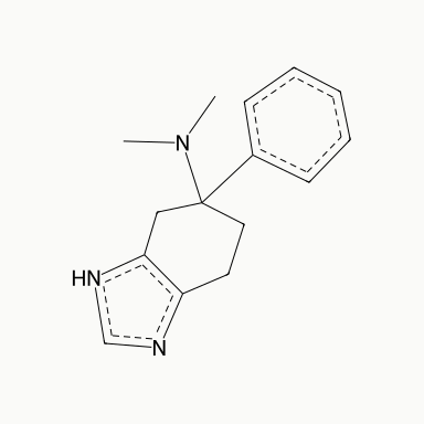 CN(C)C1(c2ccccc2)CCc2nc[nH]c2C1